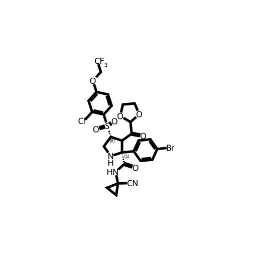 N#CC1(NC(=O)[C@]2(c3ccc(Br)cc3)NC[C@H](S(=O)(=O)c3ccc(OCC(F)(F)F)cc3Cl)C2C(=O)C2OCCO2)CC1